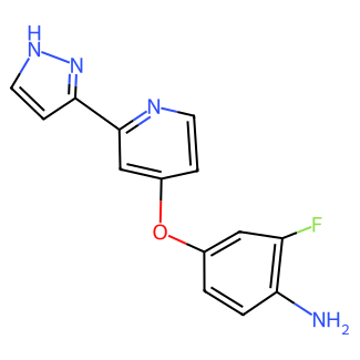 Nc1ccc(Oc2ccnc(-c3cc[nH]n3)c2)cc1F